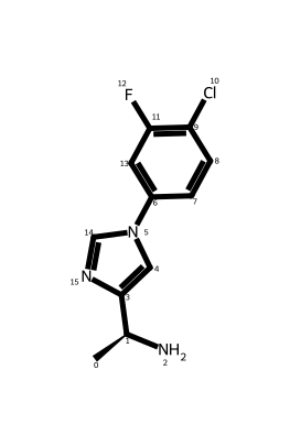 C[C@H](N)c1cn(-c2ccc(Cl)c(F)c2)cn1